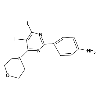 Nc1ccc(-c2nc(I)c(I)c(N3CCOCC3)n2)cc1